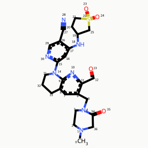 CN1CCN(Cc2cc3c(nc2C=O)N(c2cc(NC4CCS(=O)(=O)C4)c(C#N)cn2)CCC3)C(=O)C1